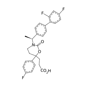 C[C@@H](c1ccc(-c2ccc(F)cc2F)cc1)N1CCC(CCC(=O)O)(c2ccc(F)cc2)OC1=O